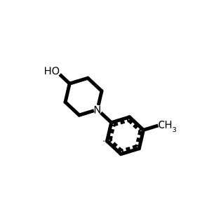 Cc1cc[c]c(N2CCC(O)CC2)c1